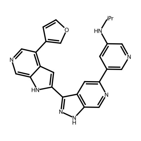 CC(C)Nc1cncc(-c2cc3c(-c4cc5c(-c6ccoc6)cncc5[nH]4)n[nH]c3cn2)c1